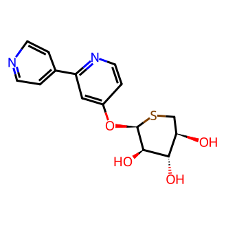 O[C@@H]1[C@@H](O)[C@@H](Oc2ccnc(-c3ccncc3)c2)SC[C@H]1O